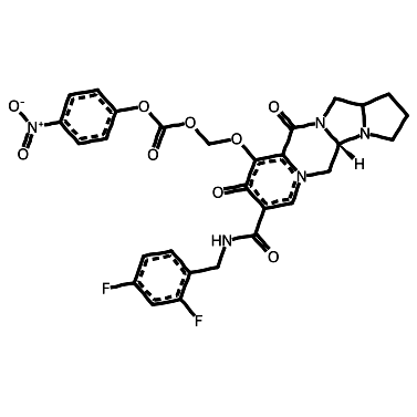 O=C(OCOc1c2n(cc(C(=O)NCc3ccc(F)cc3F)c1=O)C[C@@H]1N(CC3CCCN31)C2=O)Oc1ccc([N+](=O)[O-])cc1